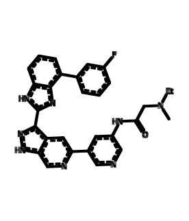 CCN(C)CC(=O)Nc1cncc(-c2cc3c(-c4nc5c(-c6cccc(F)c6)cccc5[nH]4)n[nH]c3cn2)c1